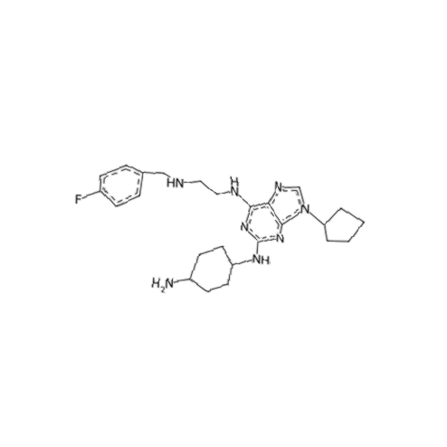 NC1CCC(Nc2nc(NCCNCc3ccc(F)cc3)c3ncn(C4CCCC4)c3n2)CC1